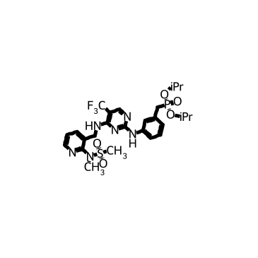 CC(C)OP(=O)(Cc1cccc(Nc2ncc(C(F)(F)F)c(NCc3cccnc3N(C)S(C)(=O)=O)n2)c1)OC(C)C